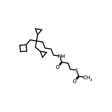 CC(=O)SCCC(=O)NCCCCC(CC1CCC1)(CC1CC1)C1CC1